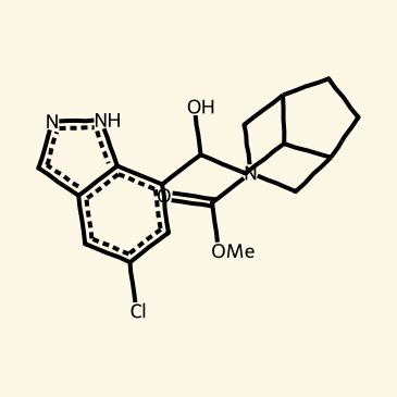 COC(=O)N1CC2CCC(C1)C2CC(O)c1cc(Cl)cc2cn[nH]c12